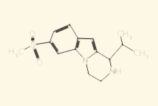 CC(C)C1NCCn2c1cc1ccc(S(C)(=O)=O)cc12